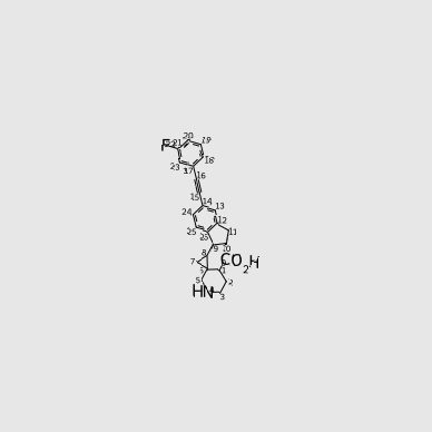 O=C(O)C1CCNCC12CC2C1CCc2cc(C#Cc3cccc(F)c3)ccc21